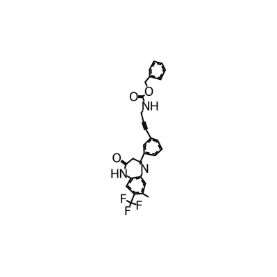 Cc1cc2c(cc1C(F)(F)F)NC(=O)CC(c1cccc(C#CCNC(=O)OCc3ccccc3)c1)=N2